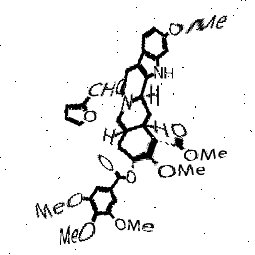 COC(=O)[C@H]1[C@H]2C[C@@H]3c4[nH]c5cc(OC)ccc5c4CCN3C[C@H]2C[C@@H](OC(=O)c2cc(OC)c(OC)c(OC)c2)[C@@H]1OC.O=Cc1ccco1